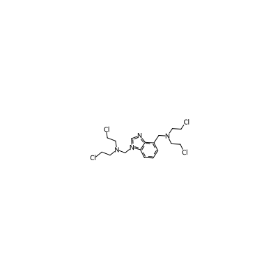 ClCCN(CCCl)Cc1cccc2c1ncn2CN(CCCl)CCCl